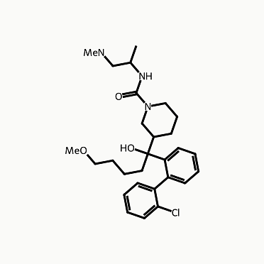 CNCC(C)NC(=O)N1CCCC(C(O)(CCCCOC)c2ccccc2-c2ccccc2Cl)C1